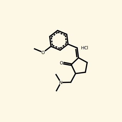 COc1cccc(C=C2CCC(CN(C)C)C2=O)c1.Cl